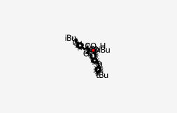 CCC(C)COc1ccc(CC(NC(=O)[C@@H]2Cc3ccc(Oc4ccc(C(C)(C)C)cc4)cc3CN2C(=O)OCC(C)C)C(=O)O)cc1